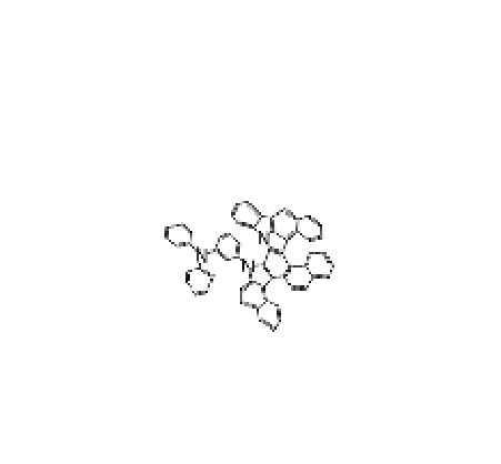 c1ccc(N(c2ccccc2)c2cccc(-n3c4ccc5ccccc5c4c4c5ccc6ccccc6c5c5c6c7ccccc7cc7c8ccccc8n(c76)c5c43)c2)cc1